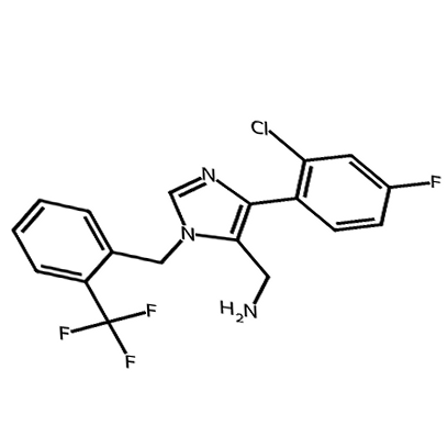 NCc1c(-c2ccc(F)cc2Cl)ncn1Cc1ccccc1C(F)(F)F